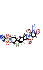 O=C1CCC(N2Cc3cc(C4CCN(S(=O)(=O)c5cn[nH]c5)CC4)c(F)cc3C2=O)C(=O)N1